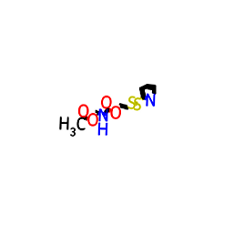 CC(=O)OCNC(=O)OCCSSc1ccccn1